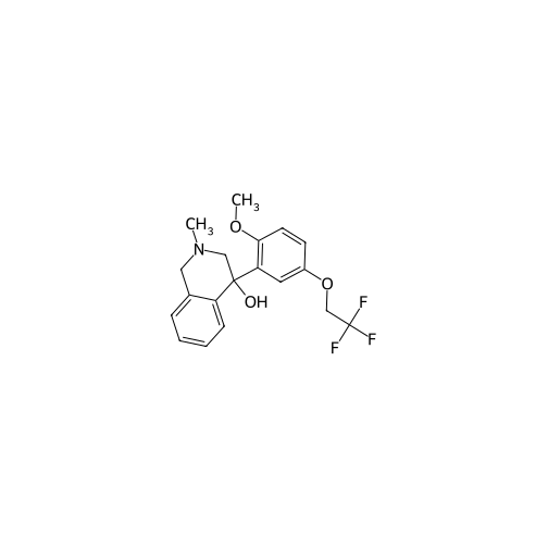 COc1ccc(OCC(F)(F)F)cc1C1(O)CN(C)Cc2ccccc21